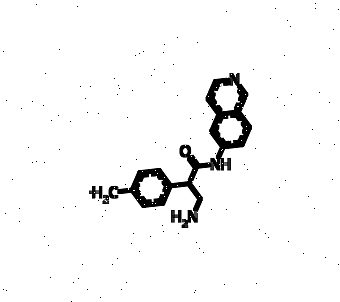 [CH2]c1ccc(C(CN)C(=O)Nc2ccc3cnccc3c2)cc1